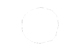 [CH]1CCCCCCCCCCCCCCCCCCC1